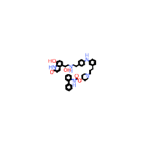 O=C(Nc1ccccc1-c1ccccc1)OC1CCN(CCCc2cccc(Nc3ccc(CCNC[C@@H](O)c4ccc(O)c5[nH]c(=O)ccc45)cc3)c2)CC1